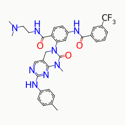 Cc1ccc(Nc2ncc3c(n2)N(C)C(=O)N(c2cc(NC(=O)c4cccc(C(F)(F)F)c4)ccc2C(=O)NCCN(C)C)C3)cc1